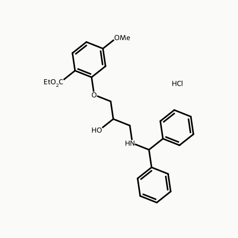 CCOC(=O)c1ccc(OC)cc1OCC(O)CNC(c1ccccc1)c1ccccc1.Cl